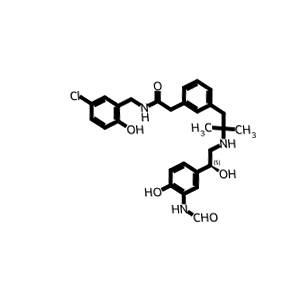 CC(C)(Cc1cccc(CC(=O)NCc2cc(Cl)ccc2O)c1)NC[C@@H](O)c1ccc(O)c(NC=O)c1